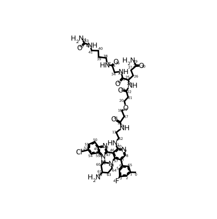 Cc1cc(F)cc(-c2cnc(NCCNC(=O)CCOCCC(=O)NC(CCC(N)=O)C(=O)NCC(=O)NCCCCNC(N)=O)c(-c3nc4ccc(Cl)cc4[nH]3)c2N2CCC(N)CC2)c1